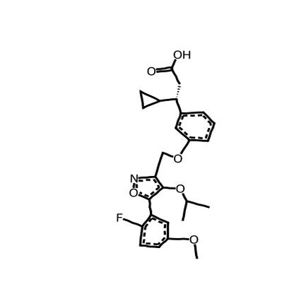 COc1ccc(F)c(-c2onc(COc3cccc([C@@H](CC(=O)O)C4CC4)c3)c2OC(C)C)c1